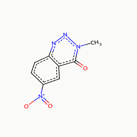 Cn1nnc2ccc([N+](=O)[O-])cc2c1=O